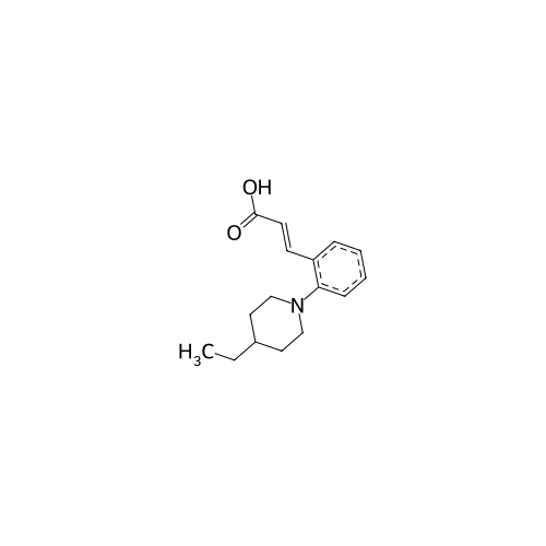 CCC1CCN(c2ccccc2C=CC(=O)O)CC1